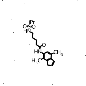 Cc1cc(NC(=O)CCCCNS(=O)(=O)C(C)C)c(C)c2c1C=CC2